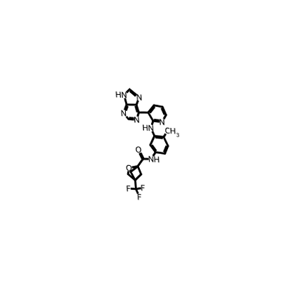 Cc1ccc(NC(=O)C23CC(C(F)(F)F)(CO2)C3)cc1Nc1ncccc1-c1ncnc2[nH]cnc12